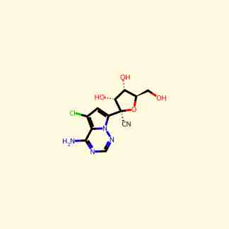 N#C[C@@]1(c2cc(Cl)c3c(N)ncnn23)O[C@H](CO)[C@@H](O)[C@H]1O